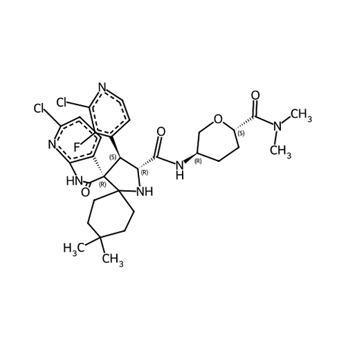 CN(C)C(=O)[C@@H]1CC[C@@H](NC(=O)[C@@H]2NC3(CCC(C)(C)CC3)[C@@]3(C(=O)Nc4nc(Cl)ccc43)[C@H]2c2ccnc(Cl)c2F)CO1